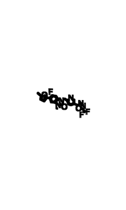 Cc1ccc(-c2cc3c(cc2F)n(Cc2ccc(-c4nnc(C(F)F)o4)cn2)c(=O)n3C)o1